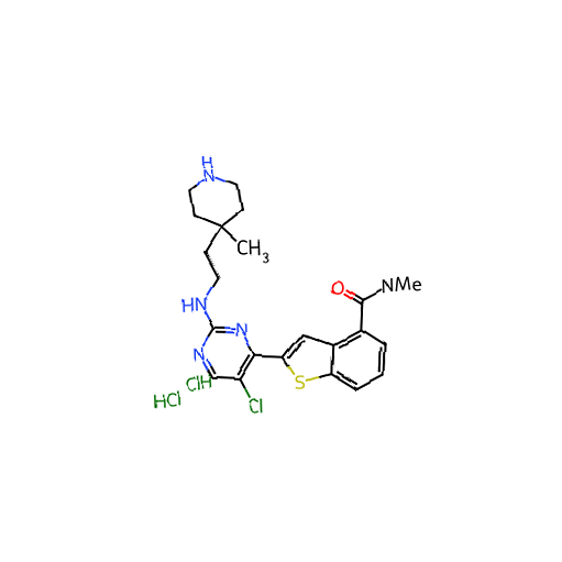 CNC(=O)c1cccc2sc(-c3nc(NCCC4(C)CCNCC4)ncc3Cl)cc12.Cl.Cl